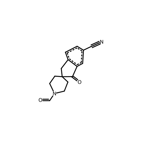 N#Cc1ccc2c(c1)C(=O)C1(CCN(C=O)CC1)C2